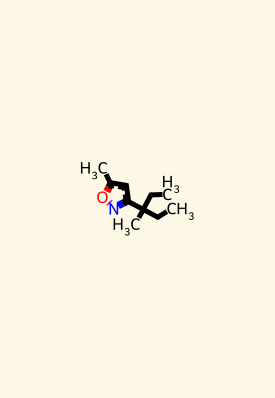 CCC(C)(CC)c1cc(C)on1